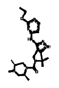 CCOc1nccc(Nc2n[nH]c3c2CN(C(=O)N2C[C@@H](C)N(C)C[C@@H]2C)C3(C)C)n1